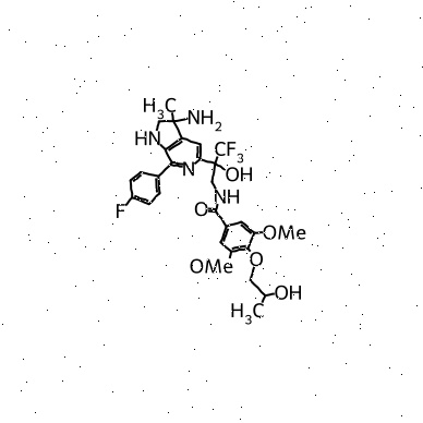 COc1cc(C(=O)NCC(O)(c2cc3c(c(-c4ccc(F)cc4)n2)NCC3(C)N)C(F)(F)F)cc(OC)c1OCC(C)O